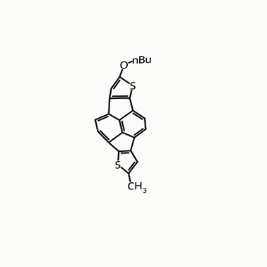 CCCCOc1cc2c(s1)-c1ccc3c4c(ccc-2c14)-c1sc(C)cc1-3